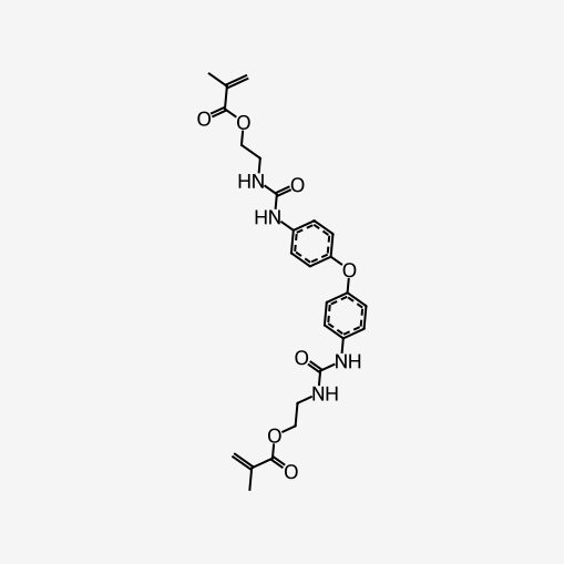 C=C(C)C(=O)OCCNC(=O)Nc1ccc(Oc2ccc(NC(=O)NCCOC(=O)C(=C)C)cc2)cc1